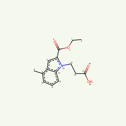 CCOC(=O)c1cc2c(C)cccc2n1CCC(=O)O